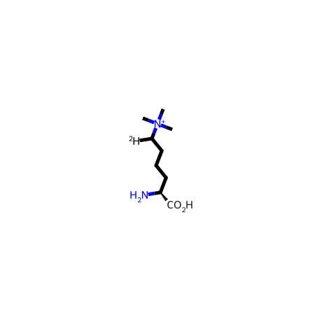 [2H]C(CCC[C@H](N)C(=O)O)[N+](C)(C)C